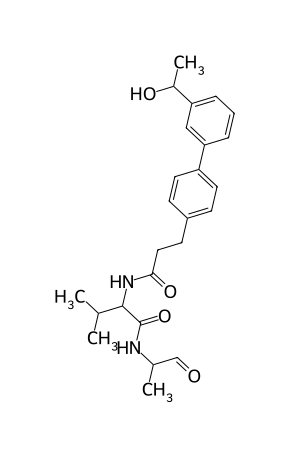 CC(C=O)NC(=O)C(NC(=O)CCc1ccc(-c2cccc(C(C)O)c2)cc1)C(C)C